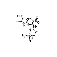 CC(CO)Nc1ncc([N+](=O)[O-])c(NC2CCC(C)(C(N)=O)CC2)n1